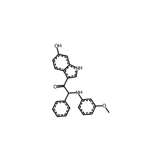 COc1cccc(NC(C(=O)c2c[nH]c3cc(O)ccc23)c2ccccc2)c1